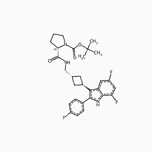 CC(C)(C)OC(=O)N1CCC[C@H]1C(=O)NC[C@H]1C[C@H](c2c(-c3ccc(F)cc3)[nH]c3c(F)cc(F)cc32)C1